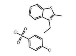 CC[n+]1c(C)sc2ccccc21.O=S(=O)([O-])c1ccc(Cl)cc1